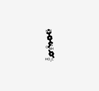 O=C(O)Cc1ccc(CNC(=O)c2cc(-c3ccc(-c4cncnc4)cc3)cs2)cc1